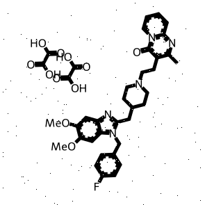 COc1cc2nc(CC3CCN(CCc4c(C)nc5ccccn5c4=O)CC3)n(Cc3ccc(F)cc3)c2cc1OC.O=C(O)C(=O)O.O=C(O)C(=O)O